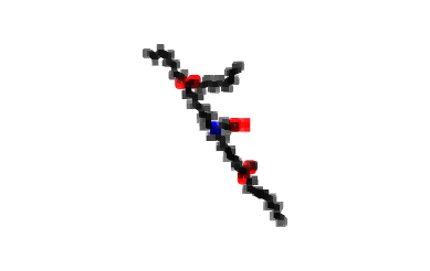 CC/C=C\CCCCOC(CCCCCCCN(CCO)CCCCCCCC(=O)OCCC#CCCCCC)OCCCC/C=C\CC